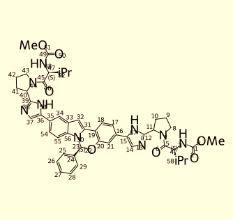 COC(=O)N[C@H](C(=O)N1CCCC1c1ncc(-c2ccc3c(c2)O[C@@H](c2ccccc2)n2c-3cc3cc(-c4cnc(C5CCCN5C(=O)[C@@H](NC(=O)OC)C(C)C)[nH]4)ccc32)[nH]1)C(C)C